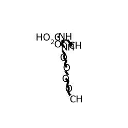 C#CCOCCOCCOCCOCCNC(=O)[C@H](CC#C)NC(=O)O